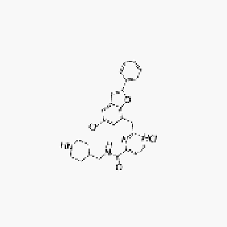 Cl.O=C(NCC1CCNCC1)c1cccc(Cc2cc(Cl)cc3cc(-c4ccccc4)oc23)n1